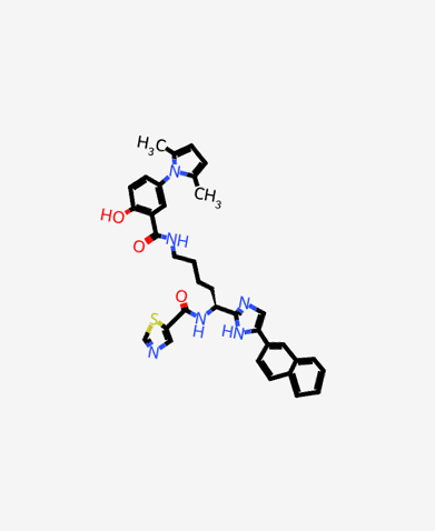 Cc1ccc(C)n1-c1ccc(O)c(C(=O)NCCCC[C@H](NC(=O)c2cncs2)c2ncc(-c3ccc4ccccc4c3)[nH]2)c1